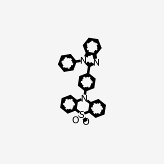 O=S1(=O)c2ccccc2N(c2ccc(-c3nc4ccccc4n3-c3ccccc3)cc2)c2ccccc21